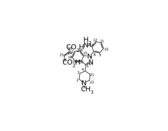 CN1CCC(c2nn(-c3ccccc3N)c3ccccc23)CC1.O=C(O)C=CC(=O)O